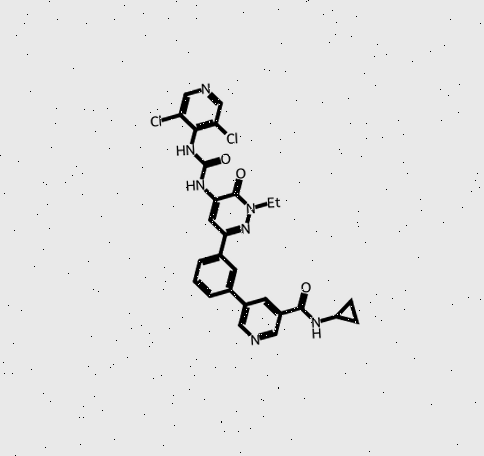 CCn1nc(-c2cccc(-c3cncc(C(=O)NC4CC4)c3)c2)cc(NC(=O)Nc2c(Cl)cncc2Cl)c1=O